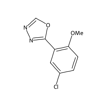 COc1ccc(Cl)cc1-c1nnco1